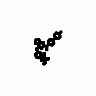 C=CS(=O)(=O)Nc1cccc(Oc2nc(Nc3ccc(N4CCN(C)CC4)cc3)nc3c2SCC3)c1